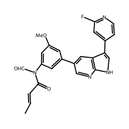 CC=CC(=O)N(C=O)c1cc(OC)cc(-c2cnc3[nH]cc(-c4ccnc(F)c4)c3c2)c1